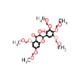 COCOc1cc(OCOC)c2c(c1)OC(c1cc(OCOC)c(OCOC)c(OCOC)c1)C(O)C2=O